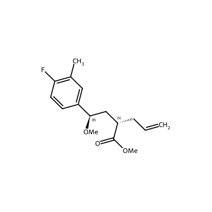 C=CC[C@@H](C[C@@H](OC)c1ccc(F)c(C)c1)C(=O)OC